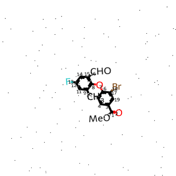 COC(=O)c1ccc(Oc2c(C)cc(F)cc2C=O)c(Br)c1